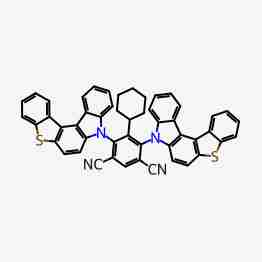 N#Cc1cc(C#N)c(-n2c3ccccc3c3c4c(ccc32)sc2ccccc24)c(C2CCCCC2)c1-n1c2ccccc2c2c3c(ccc21)sc1ccccc13